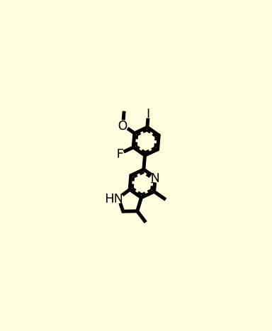 COc1c(I)ccc(-c2cc3c(c(C)n2)C(C)CN3)c1F